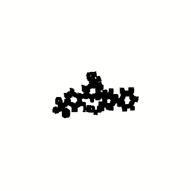 CS(=O)(=O)c1ccc(-c2cc(-c3cc(-c4ccccc4)sc3S(=O)(=O)O)nc(C(F)(F)F)n2)cc1